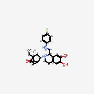 CC1(C)C2CCC1(CS(=O)(=O)O)C(=O)C2.Oc1cc2c(cc1O)C(CNc1ccc(F)cc1)NCC2